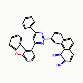 N=C1C=Cc2ccc3ccc(-c4nc(-c5ccccc5)cc(-c5cccc6oc7ccccc7c56)n4)cc3c2C1=N